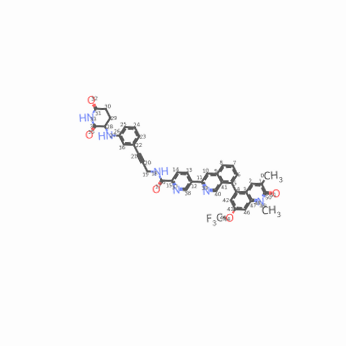 Cc1cc2c(-c3cccc4cc(-c5ccc(C(=O)NCC#Cc6cccc(NC7CCC(=O)NC7=O)c6)nc5)ncc34)cc(OC(F)(F)F)cc2n(C)c1=O